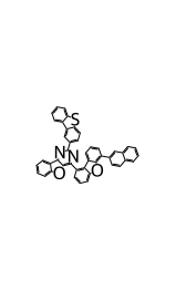 c1ccc2cc(-c3cccc4c3oc3cccc(-c5nc(-c6ccc7sc8ccccc8c7c6)nc6c5oc5ccccc56)c34)ccc2c1